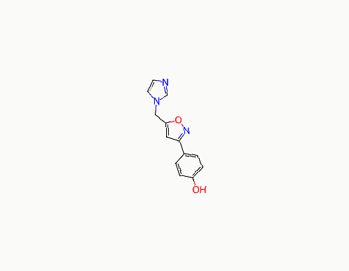 Oc1ccc(-c2cc(Cn3ccnc3)on2)cc1